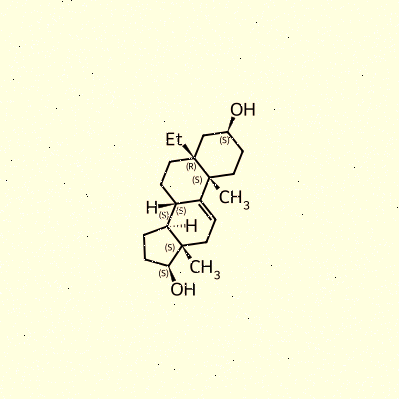 CC[C@]12CC[C@@H]3C(=CC[C@]4(C)[C@@H](O)CC[C@@H]34)[C@@]1(C)CC[C@H](O)C2